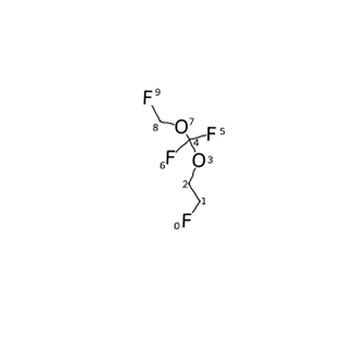 FCCOC(F)(F)OCF